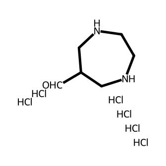 Cl.Cl.Cl.Cl.Cl.Cl.O=CC1CNCCNC1